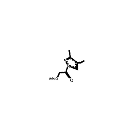 COCC(=O)n1cc(C)c(C)n1